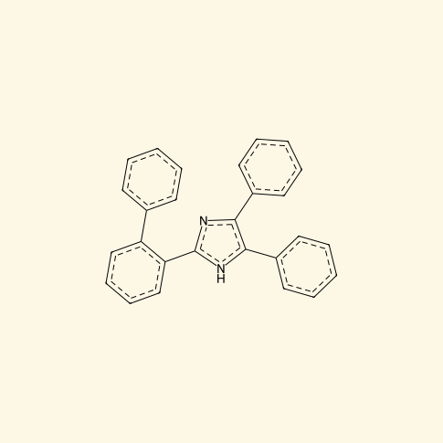 c1ccc(-c2ccccc2-c2nc(-c3ccccc3)c(-c3ccccc3)[nH]2)cc1